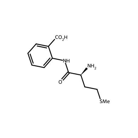 CSCC[C@H](N)C(=O)Nc1ccccc1C(=O)O